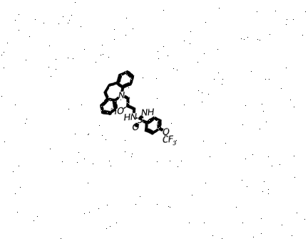 N=[S@@](=O)(NC[C@H](O)CN1c2ccccc2CCc2ccccc21)c1ccc(OC(F)(F)F)cc1